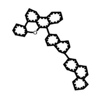 c1ccc2c(c1)Oc1c(-c3ccc4cc(-c5ccc6c(ccc7ccccc76)c5)ccc4c3)c3ccccc3c3cccc-2c13